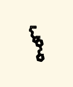 O=COCCc1cc2cc(OCc3ccccn3)ccc2[nH]1